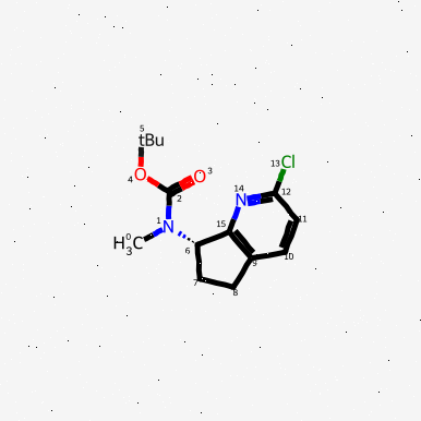 CN(C(=O)OC(C)(C)C)[C@H]1CCc2ccc(Cl)nc21